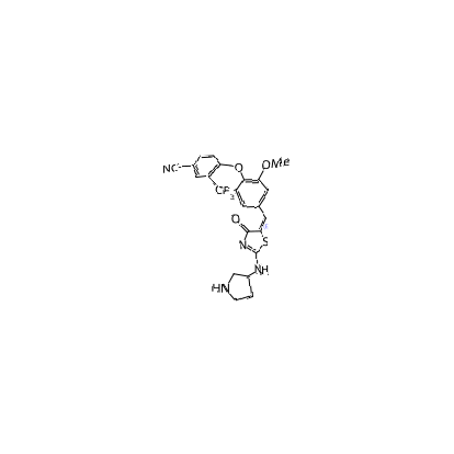 COc1cc(/C=C2/SC(NC3CCNC3)=NC2=O)ccc1Oc1ccc(C#N)cc1C(F)(F)F